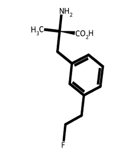 C[C@](N)(Cc1cccc(CCF)c1)C(=O)O